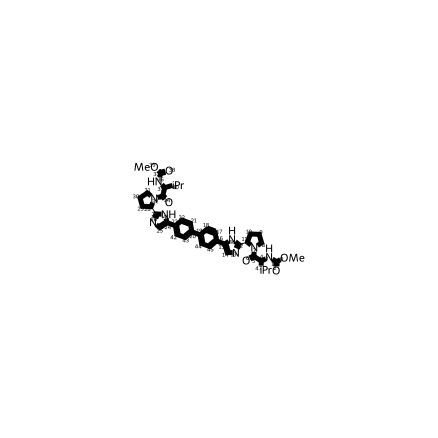 COC(=O)NC(C(=O)N1CCC[C@H]1c1ncc(-c2c#cc(-c3ccc(-c4cnc([C@@H]5CCCN5C(=O)C(NC(=O)OC)C(C)C)[nH]4)cc3)cc2)[nH]1)C(C)C